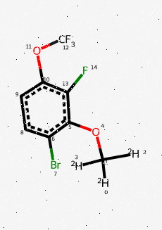 [2H]C([2H])([2H])Oc1c(Br)ccc(OC(F)(F)F)c1F